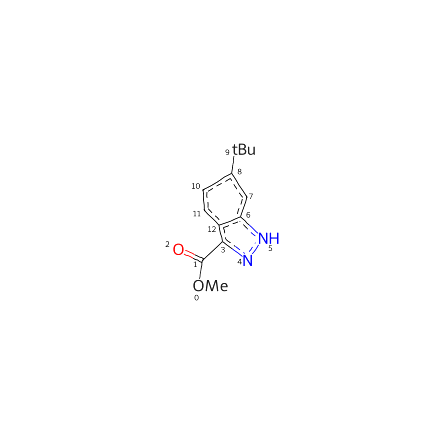 COC(=O)c1n[nH]c2cc(C(C)(C)C)ccc12